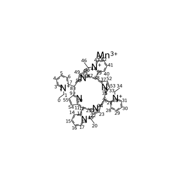 CC[n+]1ccccc1-c1c2nc(c(-c3cccc[n+]3CC)c3ccc([n-]3)c(-c3cccc[n+]3CC)c3nc(c(-c4cccc[n+]4CC)c4ccc1[n-]4)C=C3)C=C2.[Mn+3]